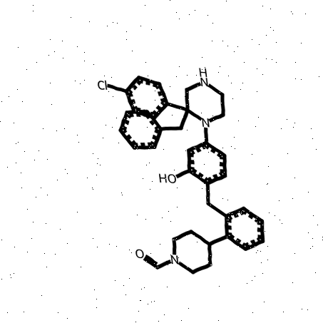 O=CN1CCC(c2ccccc2Cc2ccc(N3CCNCC3(Cc3ccccc3)c3ccc(Cl)cc3)cc2O)CC1